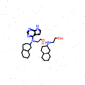 OCCN(c1ncnc2[nH]ccc12)C1CCC2CCCCC2C1.OCCNC1CCC2CCCCC2C1